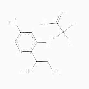 CC(=O)NC(CN)c1ncc(C(F)(F)F)cc1Cl.O=C(O)C(F)(F)F